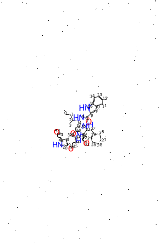 CCC(C)C(NC(=O)c1cc2ccccc2[nH]1)C(=C=O)NC(CC1CCCCC1)C(=C=O)NC(C=C=O)C[C@@H]1CCNC1=C=O